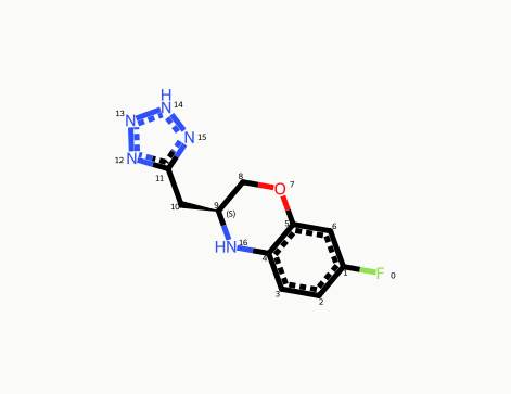 Fc1ccc2c(c1)OC[C@H](Cc1nn[nH]n1)N2